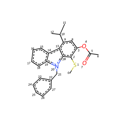 CSc1c(OC(C)=O)cc(C(C)C)c2c3ccccc3n(Cc3ccccc3)c12